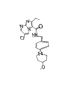 CCc1nc2ncc(Cl)cn2c1C(=O)NCc1ccc(N2CCC(OC)CC2)cc1